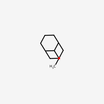 CC[C]1C2CCCC1CCC2